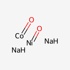 [NaH].[NaH].[O]=[Co].[O]=[Ni]